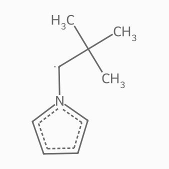 CC(C)(C)[CH]n1cccc1